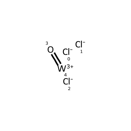 [Cl-].[Cl-].[Cl-].[O]=[W+3]